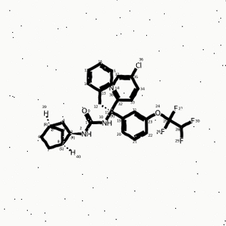 O=C(N[C@@H]1C[C@@H]2CC[C@H]1C2)N[C@](Cc1ccccc1)(c1cccc(OC(F)(F)C(F)F)c1)c1ccc(Cl)cn1